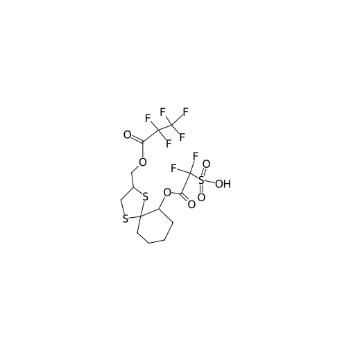 O=C(OCC1CSC2(CCCCC2OC(=O)C(F)(F)S(=O)(=O)O)S1)C(F)(F)C(F)(F)F